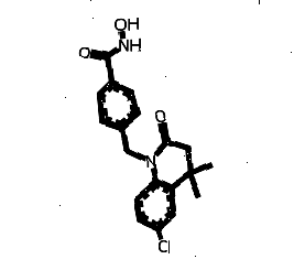 CC1(C)CC(=O)N(Cc2ccc(C(=O)NO)cc2)c2ccc(Cl)cc21